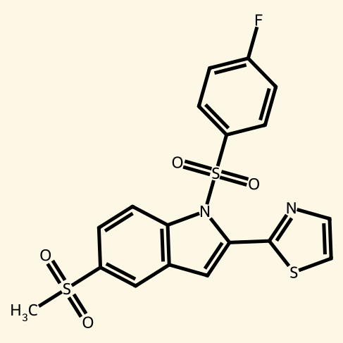 CS(=O)(=O)c1ccc2c(c1)cc(-c1nccs1)n2S(=O)(=O)c1ccc(F)cc1